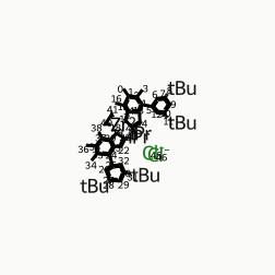 Cc1c(C)c(-c2cc(C(C)(C)C)cc(C(C)(C)C)c2)c2c(c1C)[CH]([Zr+2]1([CH]3C(C(C)C)=Cc4c(-c5cc(C(C)(C)C)cc(C(C)(C)C)c5)c(C)c(C)c(C)c43)[CH2][CH2]1)C(C(C)C)=C2.[Cl-].[Cl-]